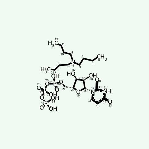 CCCCN(CCCC)CCCC.O=c1ccn([C@@H]2O[C@H](COP(=O)(O)OP(=O)(O)OP(=O)(O)O)[C@@H](O)[C@H]2O)c(=O)[nH]1